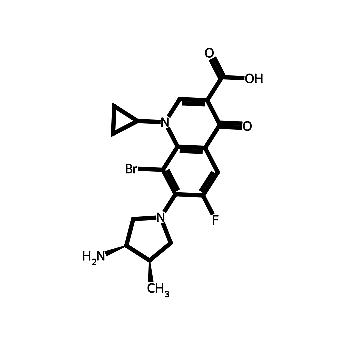 C[C@@H]1CN(c2c(F)cc3c(=O)c(C(=O)O)cn(C4CC4)c3c2Br)C[C@@H]1N